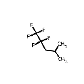 CC(C)CC(F)(F)C(F)(F)F